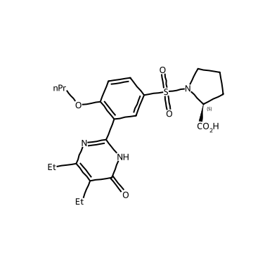 CCCOc1ccc(S(=O)(=O)N2CCC[C@H]2C(=O)O)cc1-c1nc(CC)c(CC)c(=O)[nH]1